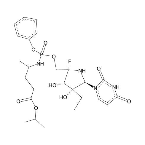 CC[C@]1(O)[C@H](n2ccc(=O)[nH]c2=O)N[C@](F)(COP(=O)(NC(C)CCC(=O)OC(C)C)Oc2ccccc2)[C@H]1O